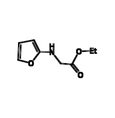 CCOC(=O)CNc1ccco1